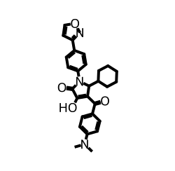 CN(C)c1ccc(C(=O)C2=C(O)C(=O)N(c3ccc(-c4ccon4)cc3)C2C2CCCCC2)cc1